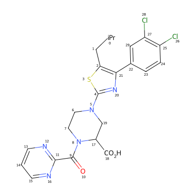 CC(C)Cc1sc(N2CCN(C(=O)c3ncccn3)C(C(=O)O)C2)nc1-c1ccc(Cl)c(Cl)c1